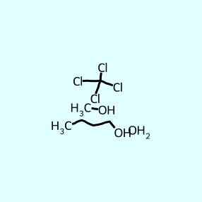 CCCCO.CO.ClC(Cl)(Cl)Cl.O